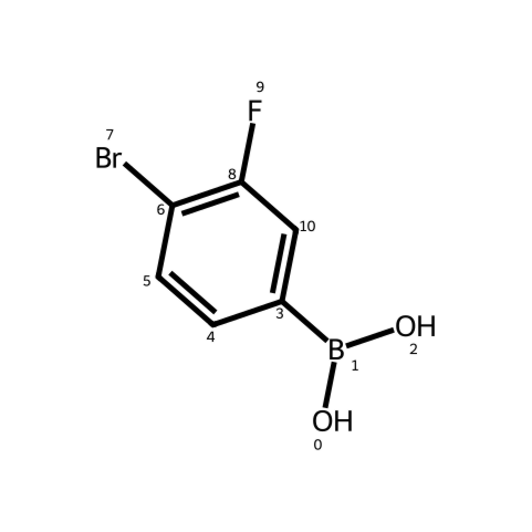 OB(O)c1ccc(Br)c(F)c1